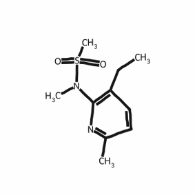 CCc1ccc(C)nc1N(C)S(C)(=O)=O